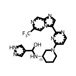 OC(N[C@H]1CCCN(c2ccnc(-c3cnc4cnc(C(F)(F)F)cn34)n2)C1)c1cn[nH]c1